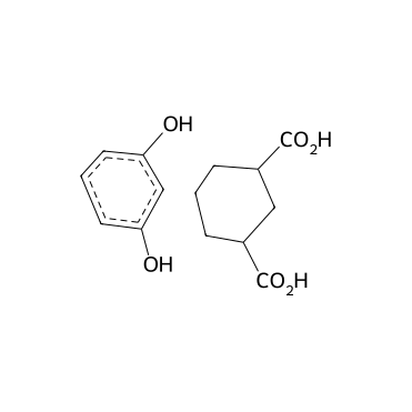 O=C(O)C1CCCC(C(=O)O)C1.Oc1cccc(O)c1